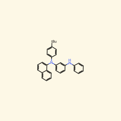 CC(C)(C)c1ccc(N(c2cccc(Nc3ccccc3)c2)c2cccc3ccccc23)cc1